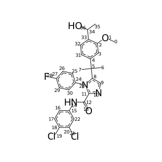 COc1cc(C(C)(C)c2cnc(C(=O)Nc3ccc(Cl)c(Cl)c3)n2-c2ccc(F)cc2)ccc1C(C)O